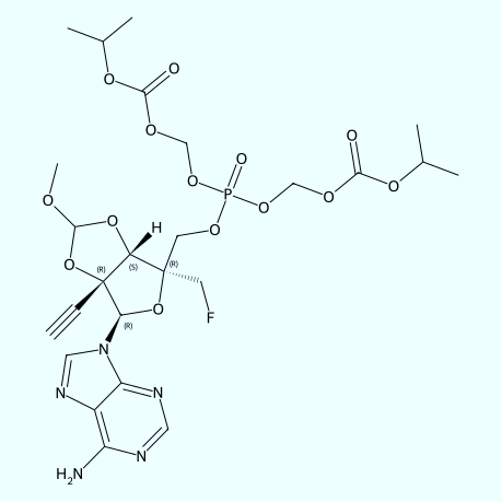 C#C[C@@]12OC(OC)O[C@@H]1[C@@](CF)(COP(=O)(OCOC(=O)OC(C)C)OCOC(=O)OC(C)C)O[C@H]2n1cnc2c(N)ncnc21